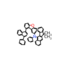 CC1(C)c2ccccc2-c2c1cc1ccccc1c2N(c1ccccc1)c1ccc2oc3cccc(-c4ccc(-c5ccccc5)c5ccccc45)c3c2c1